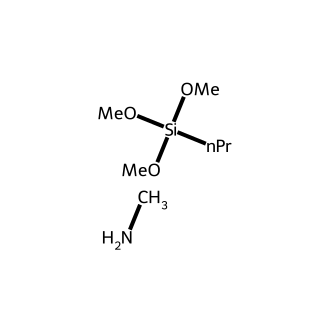 CCC[Si](OC)(OC)OC.CN